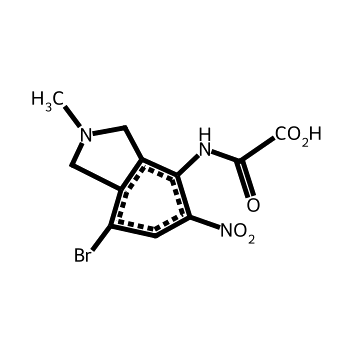 CN1Cc2c(Br)cc([N+](=O)[O-])c(NC(=O)C(=O)O)c2C1